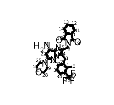 Cc1c(Cc2c(CN3C(=O)c4ccccc4C3=O)nc3c(N)cc(N4CCOCC4)nn23)cccc1C(F)(F)F